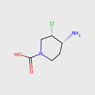 N[C@@H]1CCN(C(=O)O)C[C@@H]1Cl